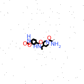 CC(NC(=O)c1ccc2[nH]c(=O)oc2c1)C1CCN(C(=O)[C@H](C)N)CC1